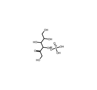 O=C(CO)C(O)C(O)C(O)CO.O=[SH](O)(O)O